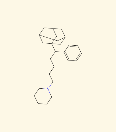 c1ccc(C(CCCCN2CCCCC2)C23CC4CC(CC(C4)C2)C3)cc1